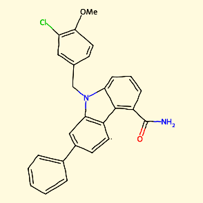 COc1ccc(Cn2c3cc(-c4ccccc4)c[c]c3c3c(C(N)=O)cccc32)cc1Cl